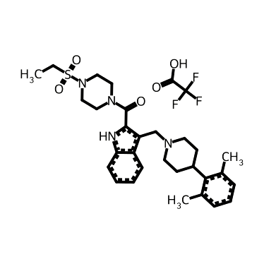 CCS(=O)(=O)N1CCN(C(=O)c2[nH]c3ccccc3c2CN2CCC(c3c(C)cccc3C)CC2)CC1.O=C(O)C(F)(F)F